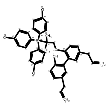 C=CCc1ccc(O)c(-c2cc(CC=C)ccc2OCC(C)(C)[PH](c2ccc(Cl)cc2)(c2ccc(Cl)cc2)c2ccc(Cl)cc2)c1